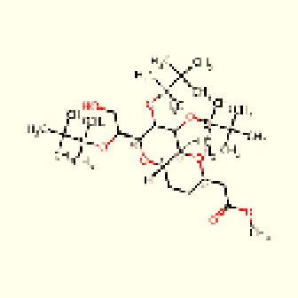 COC(=O)C[C@H]1CC[C@@H]2O[C@@H](C(CO)O[Si](C)(C)C(C)(C)C)C(O[Si](C)(C)C(C)(C)C)C(O[Si](C)(C)C(C)(C)C)[C@H]2O1